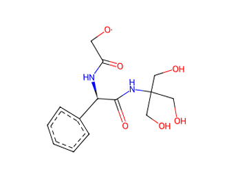 [O]CC(=O)N[C@@H](C(=O)NC(CO)(CO)CO)c1ccccc1